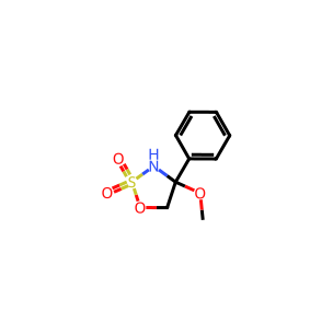 COC1(c2ccccc2)COS(=O)(=O)N1